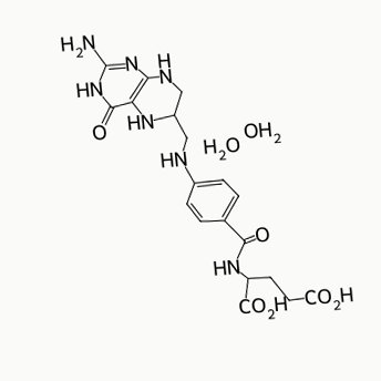 Nc1nc2c(c(=O)[nH]1)NC(CNc1ccc(C(=O)NC(CCC(=O)O)C(=O)O)cc1)CN2.O.O